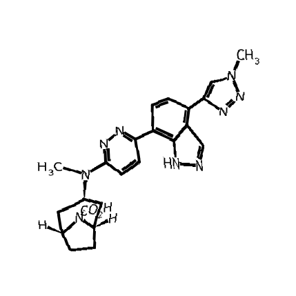 CN(c1ccc(-c2ccc(-c3cn(C)nn3)c3cn[nH]c23)nn1)[C@@H]1C[C@H]2CC[C@@H](C1)N2C(=O)O